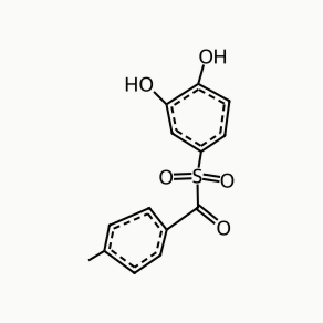 Cc1ccc(C(=O)S(=O)(=O)c2ccc(O)c(O)c2)cc1